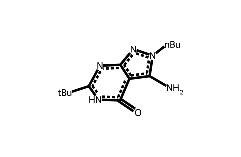 CCCCn1nc2nc(C(C)(C)C)[nH]c(=O)c2c1N